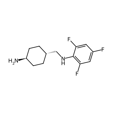 N[C@H]1CC[C@H](CNc2c(F)cc(F)cc2F)CC1